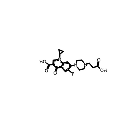 O=C(O)CCN1CCN(c2cc3c(cc2F)c(=O)c(C(=O)O)cn3C2CC2)CC1